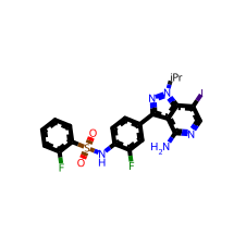 CC(C)n1nc(-c2ccc(NS(=O)(=O)c3ccccc3F)c(F)c2)c2c(N)ncc(I)c21